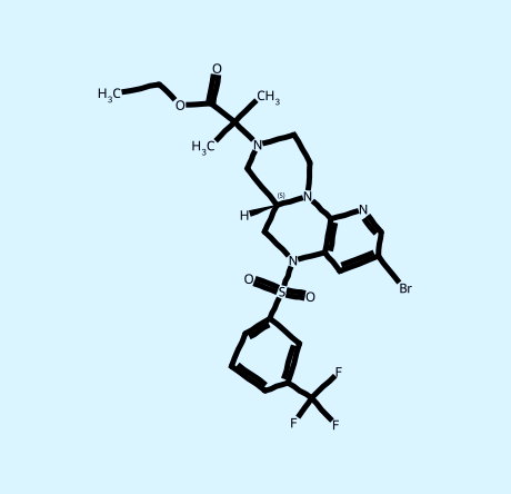 CCOC(=O)C(C)(C)N1CCN2c3ncc(Br)cc3N(S(=O)(=O)c3cccc(C(F)(F)F)c3)C[C@@H]2C1